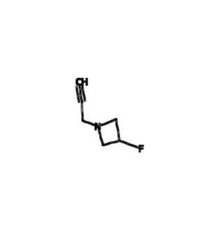 C#CCN1CC(F)C1